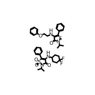 CC(C)N1C(=O)C(NC2CCC(F)(F)CC2)=C(c2ccccc2)S1(=O)=O.CC(C)n1sc(-c2ccccc2)c(NCCOc2ccccc2)c1=O